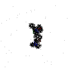 Cc1c2c3c(cccc3c3cc(N(c4ccccc4)c4c(F)cc(-c5ccccc5)cc4-c4ccccc4)ccc13)Sc1cc(N(c3ccccc3)c3ccccc3)ccc1-2